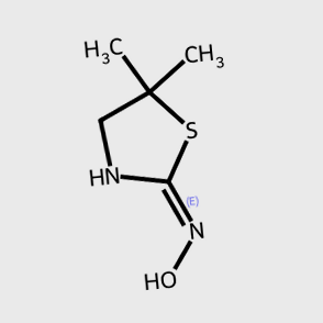 CC1(C)CN/C(=N\O)S1